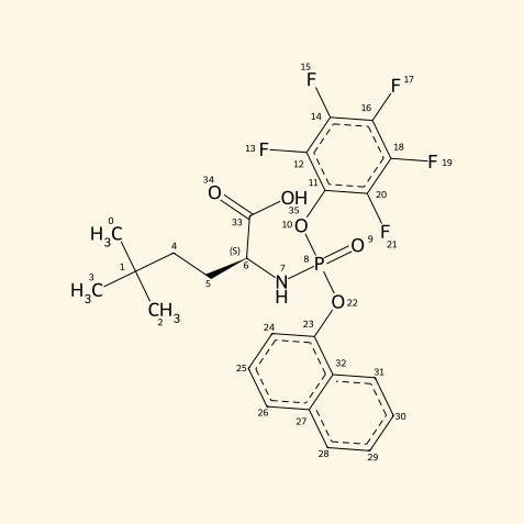 CC(C)(C)CC[C@H](NP(=O)(Oc1c(F)c(F)c(F)c(F)c1F)Oc1cccc2ccccc12)C(=O)O